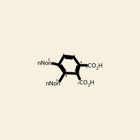 CCCCCCCCCc1ccc(C(=O)O)c(C(=O)O)c1CCCCCCCCC